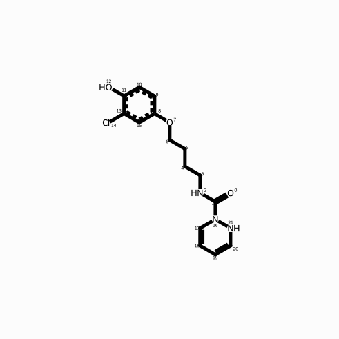 O=C(NCCCCOc1ccc(O)c(Cl)c1)N1C=CC=CN1